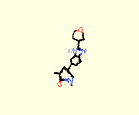 Cc1cc(-c2ccc3nc(C4CCOCC4)[nH]c3c2)cn(C)c1=O